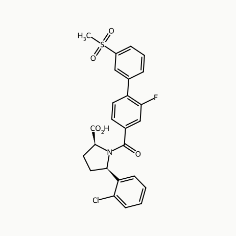 CS(=O)(=O)c1cccc(-c2ccc(C(=O)N3[C@@H](c4ccccc4Cl)CC[C@H]3C(=O)O)cc2F)c1